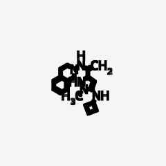 C=C(NN1CCc2ccccc2C1)C1C=C(NC2CCC2)N(C)N1